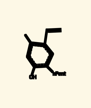 C=Cc1cc(CCCCC)c(O)cc1C